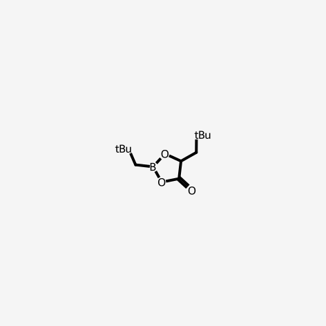 CC(C)(C)CB1OC(=O)C(CC(C)(C)C)O1